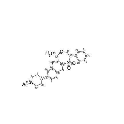 CC(=O)N1CCN(c2ccc(CN3C[C@H](C)OCC(c4ccccc4)S3(=O)=O)c(F)c2)CC1